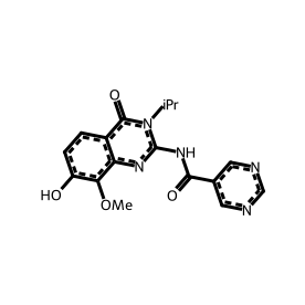 COc1c(O)ccc2c(=O)n(C(C)C)c(NC(=O)c3cncnc3)nc12